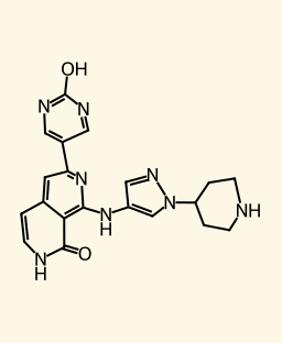 O=c1[nH]ccc2cc(-c3cnc(O)nc3)nc(Nc3cnn(C4CCNCC4)c3)c12